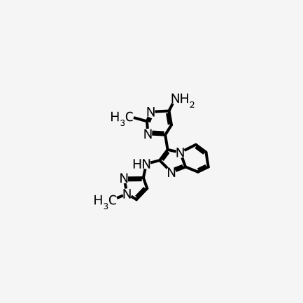 Cc1nc(N)cc(-c2c(Nc3ccn(C)n3)nc3ccccn23)n1